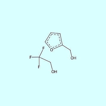 OCC(F)(F)F.OCc1ccco1